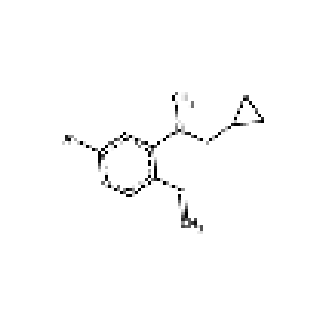 C=Cc1ccc(Br)cc1N(C)CC1CC1